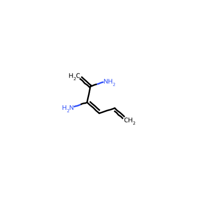 C=C/C=C(/N)C(=C)N